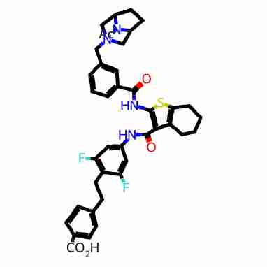 CC(=O)N1C2CCC1CN(Cc1cccc(C(=O)Nc3sc4c(c3C(=O)Nc3cc(F)c(CCc5ccc(C(=O)O)cc5)c(F)c3)CCCC4)c1)C2